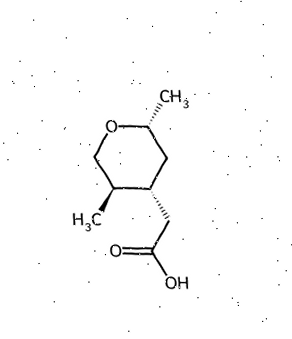 C[C@@H]1C[C@H](CC(=O)O)[C@@H](C)CO1